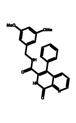 COc1cc(CNC(=O)c2[nH]c(=O)c3ncccc3c2-c2ccccc2)cc(OC)c1